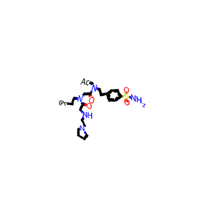 CC(=O)CN(CCc1ccc(S(N)(=O)=O)cc1)C(=O)CN(CCC(C)C)C(=O)CNCCN1CCCC1